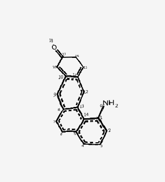 Nc1cccc2ccc3cc4c(cc3c12)=CCC(=O)C=4